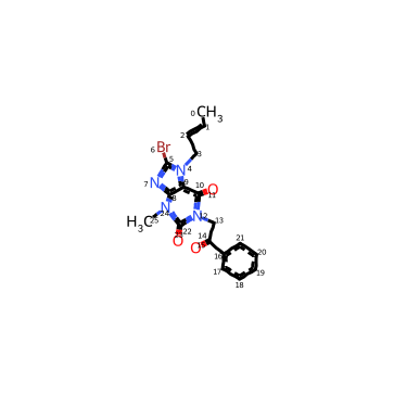 CC=CCn1c(Br)nc2c1c(=O)n(CC(=O)c1ccccc1)c(=O)n2C